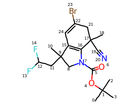 CC(C)(C)OC(=O)N1CC(C)(CC(F)F)C2=C1C(C)(C#N)CC(Br)=C2